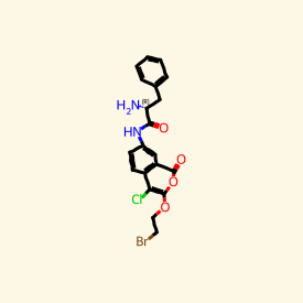 N[C@H](Cc1ccccc1)C(=O)Nc1ccc2c(Cl)c(OCCBr)oc(=O)c2c1